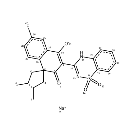 CCCC1(CCC)C(=O)C(C2=NS(=O)(=O)c3ccccc3N2)=C([O-])c2cc(F)ccc21.[Na+]